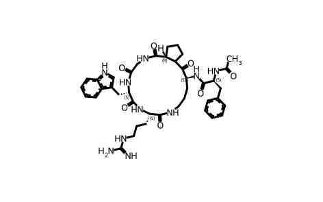 CC(=O)N[C@@H](Cc1ccccc1)C(=O)N[C@H]1CCCNC(=O)[C@H](CCCNC(=N)N)NC(=O)[C@H](Cc2c[nH]c3ccccc23)NC(=O)CNC(=O)[C@@H]2CCCC2C1=O